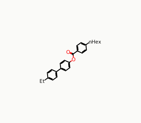 CCCCCCc1ccc(C(=O)Oc2ccc(-c3ccc(CC)cc3)cc2)cc1